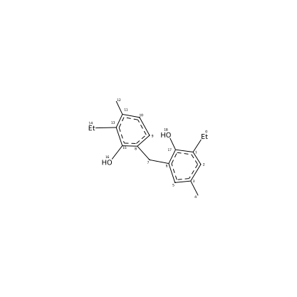 CCc1cc(C)cc(Cc2ccc(C)c(CC)c2O)c1O